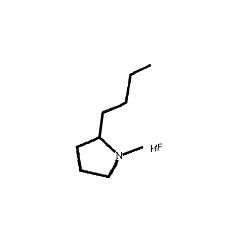 CCCCC1CCCN1C.F